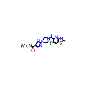 CNC(=O)c1cnc(N2CCN(C(C)c3nc4nc(C)sc4cc3F)CC2)nc1